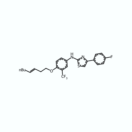 CCCCC=CCCOc1ccc(Nc2nc(-c3ccc(F)cc3)cs2)cc1C(F)(F)F